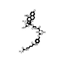 CCCC1OC2CC3[C@@H]4CCC5=CC(=O)C=C[C@]5(C)C4[C@@H](O)C[C@]3(C)[C@]2(C(=O)COC(=O)CNC(=O)[C@H](CO)NC(=O)OCc2ccc(NC(=O)CCCCNC(N)=O)cc2)O1